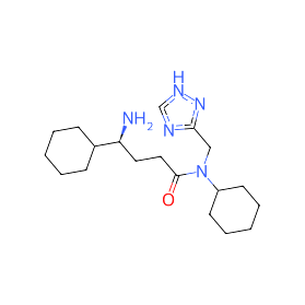 N[C@@H](CCC(=O)N(Cc1nc[nH]n1)C1CCCCC1)C1CCCCC1